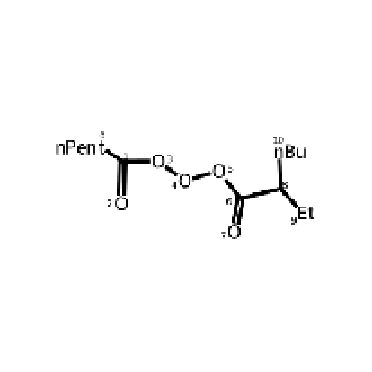 CCCCCC(=O)OOOC(=O)C(CC)CCCC